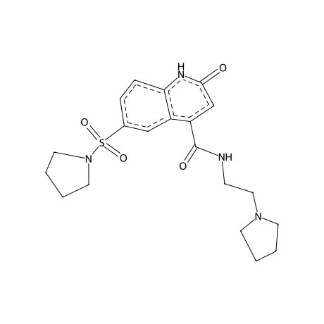 O=C(NCCN1CCCC1)c1cc(=O)[nH]c2ccc(S(=O)(=O)N3CCCC3)cc12